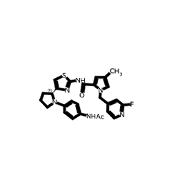 CC(=O)Nc1ccc(N2CCC[C@@H]2c2csc(NC(=O)c3cc(C)cn3Cc3ccnc(F)c3)n2)cc1